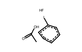 CC(=O)O.F.Ic1ccccc1